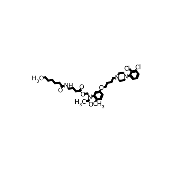 CCCCCCC(=O)NCCCC(=O)OCN(C(C)=O)c1cc(OCCCCN2CCN(c3cccc(Cl)c3Cl)CC2)ccc1C